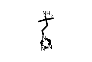 CC(C)(N)CCn1cnnc1